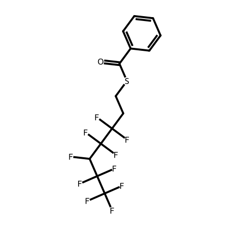 O=C(SCCC(F)(F)C(F)(F)C(F)C(F)(F)C(F)(F)F)c1ccccc1